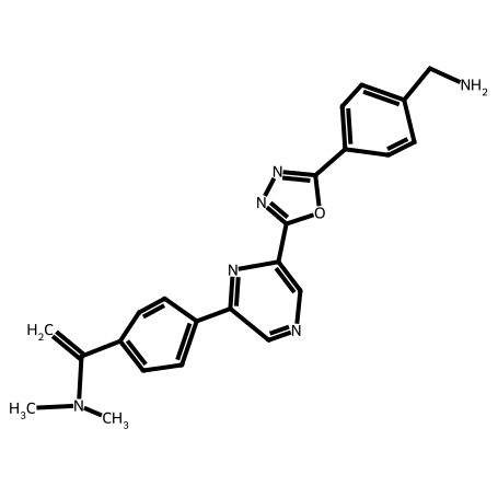 C=C(c1ccc(-c2cncc(-c3nnc(-c4ccc(CN)cc4)o3)n2)cc1)N(C)C